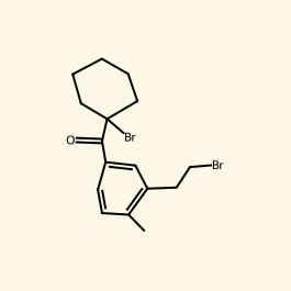 Cc1ccc(C(=O)C2(Br)CCCCC2)cc1CCBr